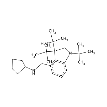 CC(C)(C)N1CC(C(C)(C)C)(C(C)(C)C)c2c(CNC3CCCC3)cccc21